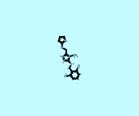 Cn1c(CSc2cccs2)nnc1SCc1c(Cl)cccc1Cl